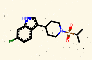 CC(C)S(=O)(=O)N1CCC(c2c[nH]c3cc(F)ccc23)CC1